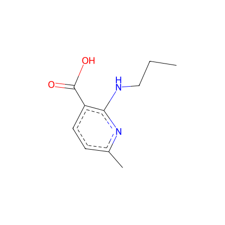 CCCNc1nc(C)ccc1C(=O)O